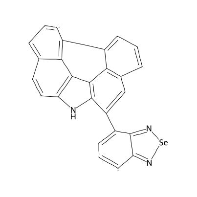 [c]1ccc(-c2cc3cccc4c5[c]ccc6ccc7[nH]c2c(c34)c7c65)c2n[se]nc12